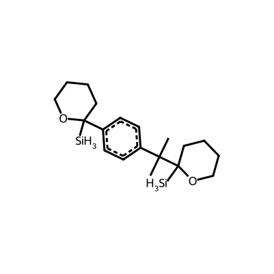 CC(C)(c1ccc(C2([SiH3])CCCCO2)cc1)C1([SiH3])CCCCO1